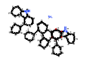 N.c1ccc(-c2cccc(-c3ccccc3-c3ccc4[nH]c5ccccc5c4c3-c3ccccc3)c2-c2ccccc2-c2ccc3[nH]c4ccccc4c3c2-c2ccccc2)cc1